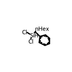 CCCCCCC(c1ccccc1)[SiH](Cl)Cl